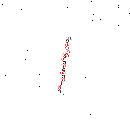 C=CC(=O)OCCCCOC(=O)Oc1ccc(C(=O)Oc2ccc(C(=O)Oc3ccc(C(=O)O[C@H]4COC5C4OC[C@@H]5OC(=O)c4ccc(OC(=O)c5ccc(C)cc5)cc4)cc3)cc2)cc1